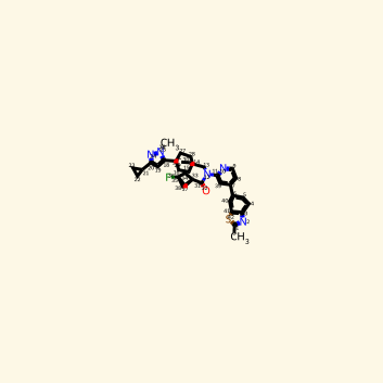 Cc1nc2ccc(-c3ccnc(N(CC45CCC(c6cc(C7CC7)nn6C)(CC4)CC5)C(=O)C45CC(F)(C4)C5)c3)cc2s1